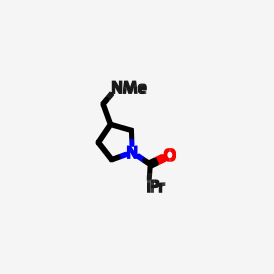 CNCC1CCN(C(=O)C(C)C)C1